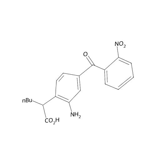 CCCCC(C(=O)O)c1ccc(C(=O)c2ccccc2[N+](=O)[O-])cc1N